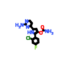 NC(=O)Oc1cc(-c2ccnc(N)n2)[nH]c1-c1ccc(F)cc1Cl